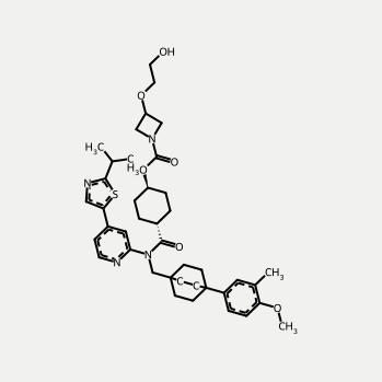 COc1ccc(C23CCC(CN(c4cc(-c5cnc(C(C)C)s5)ccn4)C(=O)[C@H]4CC[C@H](OC(=O)N5CC(OCCO)C5)CC4)(CC2)CC3)cc1C